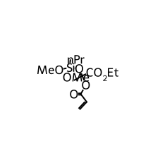 C=CC(=O)OC(C)(O[Si](CCC)(OC)OC)C(=O)OCC